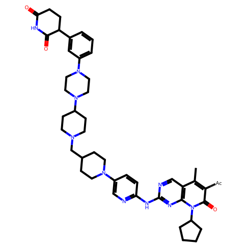 CC(=O)c1c(C)c2cnc(Nc3ccc(N4CCC(CN5CCC(N6CCN(c7cccc(C8CCC(=O)NC8=O)c7)CC6)CC5)CC4)cn3)nc2n(C2CCCC2)c1=O